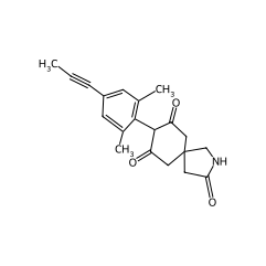 CC#Cc1cc(C)c(C2C(=O)CC3(CNC(=O)C3)CC2=O)c(C)c1